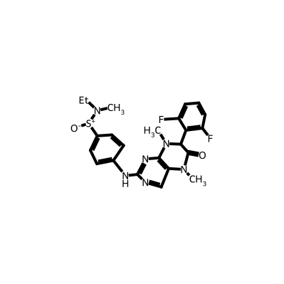 CCN(C)[S+]([O-])c1ccc(Nc2ncc3c(n2)N(C)C(c2c(F)cccc2F)C(=O)N3C)cc1